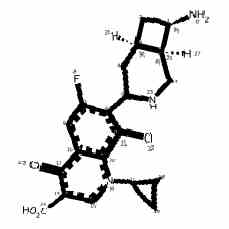 N[C@@H]1C[C@@H]2CC(c3c(F)cc4c(=O)c(C(=O)O)cn(C5CC5)c4c3Cl)NC[C@@H]21